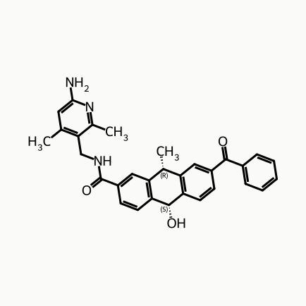 Cc1cc(N)nc(C)c1CNC(=O)c1ccc2c(c1)[C@H](C)c1cc(C(=O)c3ccccc3)ccc1[C@@H]2O